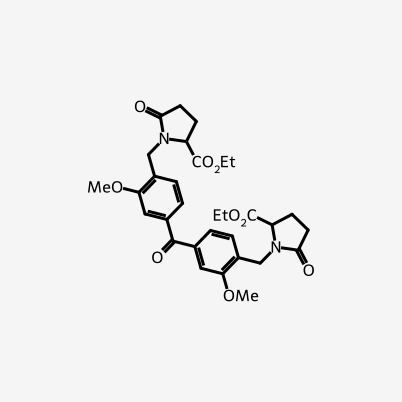 CCOC(=O)C1CCC(=O)N1Cc1ccc(C(=O)c2ccc(CN3C(=O)CCC3C(=O)OCC)c(OC)c2)cc1OC